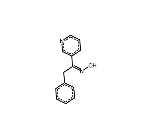 ON=C(Cc1ccccc1)c1cccnc1